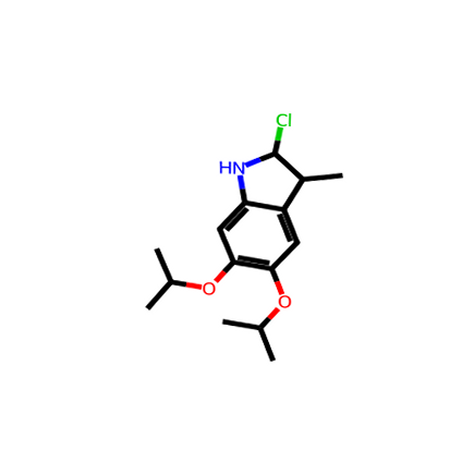 CC(C)Oc1cc2c(cc1OC(C)C)C(C)C(Cl)N2